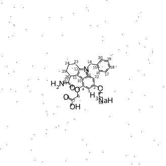 COc1cc(OCC(=O)O)c2c3c(n(Cc4ccccc4)c2c1)CCCC3C(N)=O.[NaH]